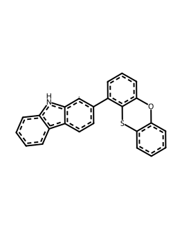 [c]1c(-c2cccc3c2Sc2ccccc2O3)ccc2c1[nH]c1ccccc12